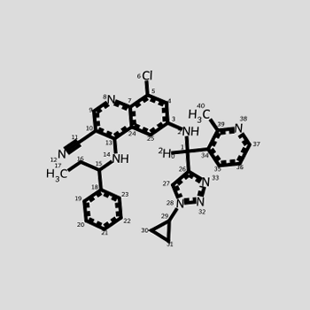 [2H]C(Nc1cc(Cl)c2ncc(C#N)c(NC(CC)c3ccccc3)c2c1)(c1cn(C2CC2)nn1)c1cccnc1C